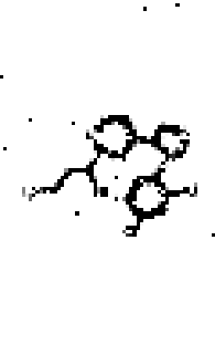 NCCC(N)c1nccc(-c2cncn2-c2ccc(Cl)cc2Cl)n1